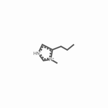 CCCc1c[nH]c[n+]1C